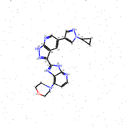 c1cc(N2CCOCC2)c2nc(-c3n[nH]c4ncc(-c5cnn(C6CC6)c5)cc34)[nH]c2n1